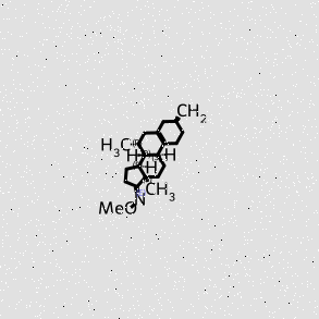 C=C1CCC2=C(C1)C[C@@H](C)[C@@H]1[C@@H]2CC[C@]2(C)/C(=N/OC)CC[C@@H]12